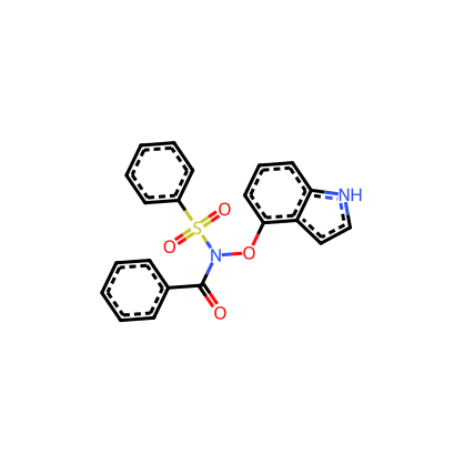 O=C(c1ccccc1)N(Oc1cccc2[nH]ccc12)S(=O)(=O)c1ccccc1